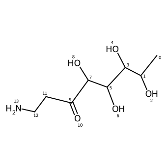 CC(O)C(O)C(O)C(O)C(=O)CCN